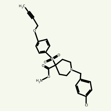 CC#CCOc1ccc(S(=O)(=O)C2(C(=O)ON)CCN(Cc3ccc(Cl)cc3)CC2)cc1